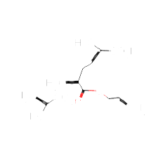 C=C(C)C(=O)O.C=CCOC(=O)C(=C)CC=C(C)C(=O)O